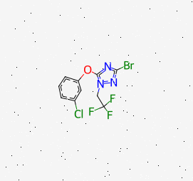 FC(F)(F)Cn1nc(Br)nc1Oc1cccc(Cl)c1